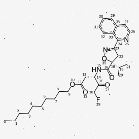 CCCCCCCCCCOC(=O)C[C@H](NC(=O)[C@]1(C(C)C)CC(c2nccc3ccccc23)=NO1)C(=O)CF